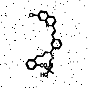 CC(C)(O)CCS[C@@H](CCCc1ccccc1C(=O)O)c1cccc(C=Cc2ccc3ccc(Cl)cc3n2)c1